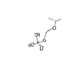 CC(C)OCOP(=O)(O)O